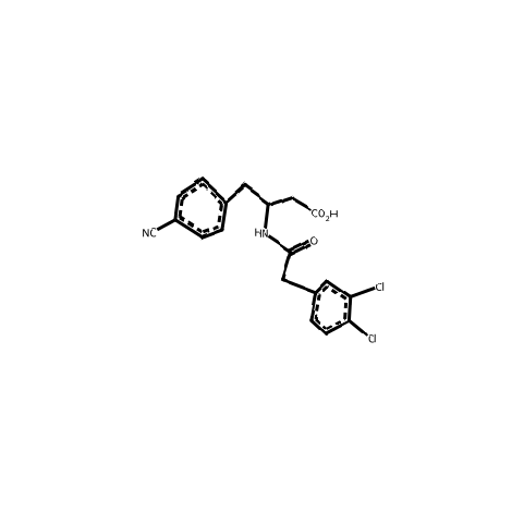 N#Cc1ccc(CC(CC(=O)O)NC(=O)Cc2ccc(Cl)c(Cl)c2)cc1